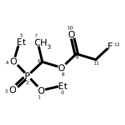 CCOP(=O)(OCC)C(C)OC(=O)CF